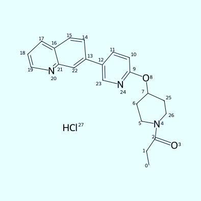 CCC(=O)N1CCC(Oc2ccc(-c3ccc4cccnc4c3)cn2)CC1.Cl